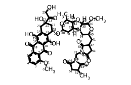 COc1cccc2c1C(=O)c1c(O)c3c(c(O)c1C2=O)C[C@@](O)(C(=O)CO)C[C@@H]3O[C@H]1C[C@H]2[C@H](O[C@@H]3[C@@H](OC)OC(CC4CC(=O)N(CN5C(=O)CC(C)C5=O)C4=O)CN32)[C@H](C)O1